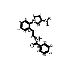 CN(C)C1CCN(c2ccccc2CCNC(=O)c2ccccc2)C1